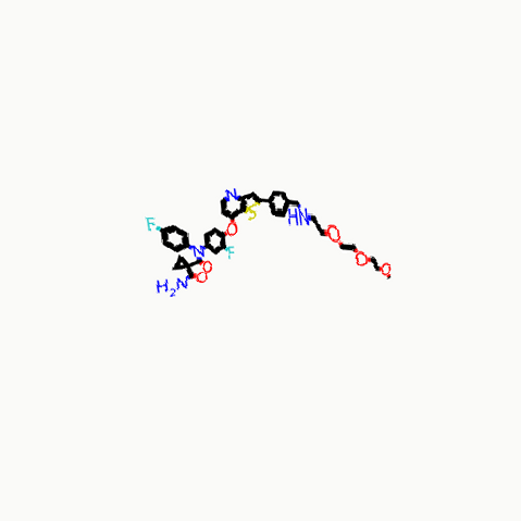 COCCOCCOCCNCc1ccc(-c2cc3nccc(Oc4ccc(N(C(=O)C5(C(N)=O)CC5)c5ccc(F)cc5)cc4F)c3s2)cc1